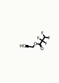 C#CCOC(=O)C(F)(F)C(F)F